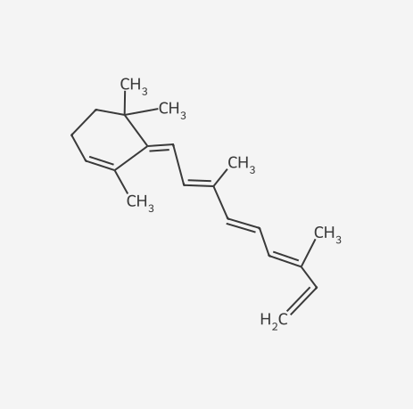 C=C/C(C)=C/C=C/C(C)=C/C=C1\C(C)=CCCC1(C)C